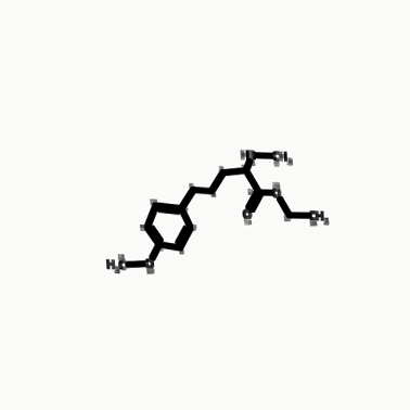 CBC(CCCc1ccc(OC)cc1)C(=O)OCC